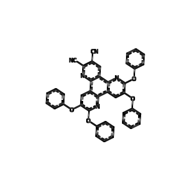 N#Cc1cc2c(nc1C#N)c1cc(Oc3ccccc3)c(Oc3ccccc3)nc1c1cc(Oc3ccccc3)c(Oc3ccccc3)nc21